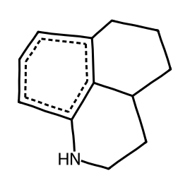 c1cc2c3c(c1)NCCC3CCC2